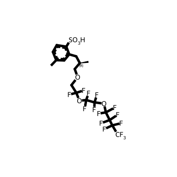 Cc1ccc(S(=O)(=O)O)c(C[C@@H](C)COCC(F)(F)OC(F)(F)C(F)(F)OC(F)(F)C(F)(F)C(F)(F)C(F)(F)F)c1